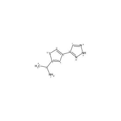 CC(N)c1cc(-c2cn[nH]n2)cs1